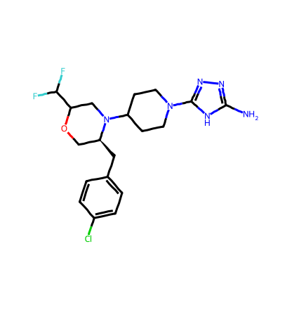 Nc1nnc(N2CCC(N3CC(C(F)F)OC[C@@H]3Cc3ccc(Cl)cc3)CC2)[nH]1